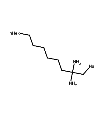 CCCCCCCCCCCCC(N)(N)[CH2][Na]